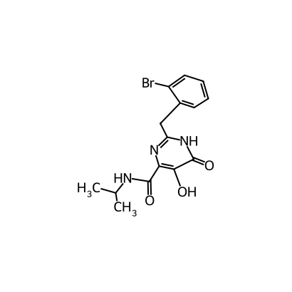 CC(C)NC(=O)c1nc(Cc2ccccc2Br)[nH]c(=O)c1O